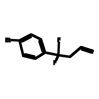 C=CCC(F)(F)c1ccc(CC)cc1